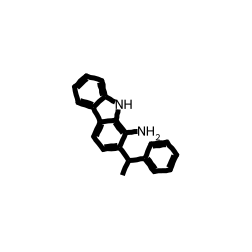 CC(c1ccccc1)c1ccc2c([nH]c3ccccc32)c1N